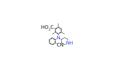 Cc1cc(C)c(N(c2ccccc2C#N)C2CCNCC2)c(C)c1C(=O)O